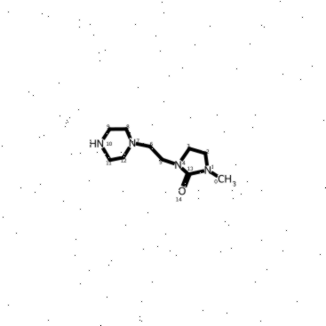 CN1CCN(CCN2CCNCC2)C1=O